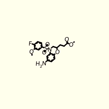 COC(=O)CCC1CN(S(=O)(=O)c2ccc(F)c(OC)c2)c2cc(N)ccc2O1